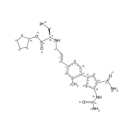 Cc1cc(/C=C/CN[C@H](CC(C)C)C(=O)OC2CCCC2)ccc1-c1cc(C(N)=O)c(NC(N)=O)s1